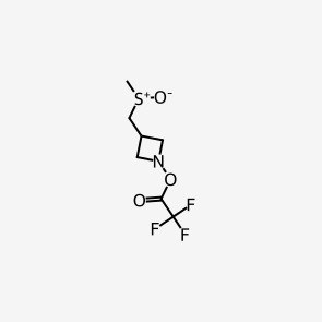 C[S+]([O-])CC1CN(OC(=O)C(F)(F)F)C1